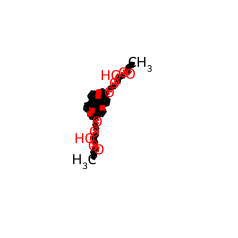 CC=CC(=O)OCC(O)COCCOc1cccc2c(C3(c4cccc5c(OCCOCC(O)COC(=O)C=CC)cccc45)c4ccccc4-c4ccccc43)cccc12